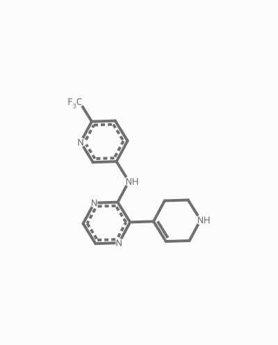 FC(F)(F)c1ccc(Nc2nccnc2C2=CCNCC2)cn1